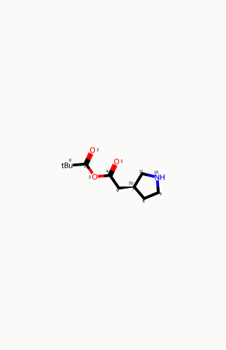 CC(C)(C)C(=O)OC(=O)C[C@@H]1CCNC1